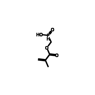 C=C(C)C(=O)OC[PH](=O)O